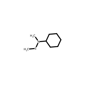 CSN(C)C1CCCCC1